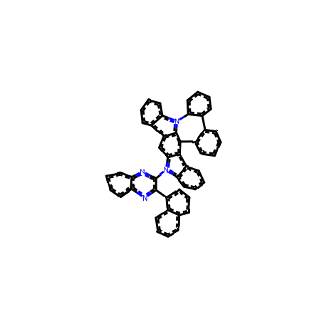 c1ccc2c(c1)-c1ccccc1-n1c3ccccc3c3cc4c(c-2c31)c1ccccc1n4-c1nc2ccccc2nc1-c1cccc2ccccc12